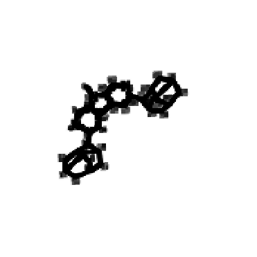 Cn1c2cnc(C3C4CC5CC(C4)CC3C5)cc2c2cc(C3C4CC5CC(C4)CC3C5)ncc21